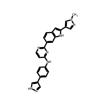 Cn1cc(-c2cc3ccc(-c4nccc(Nc5ccc(-c6cn[nH]c6)cc5)n4)cc3[nH]2)cn1